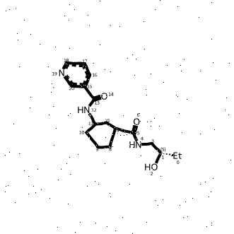 CC[C@H](O)CNC(=O)C1CCCC(NC(=O)c2cccnc2)C1